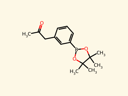 CC(=O)Cc1cccc(B2OC(C)(C)C(C)(C)O2)c1